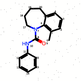 Cc1cccc2c1N(C(=O)Nc1ccccc1)CCCC2